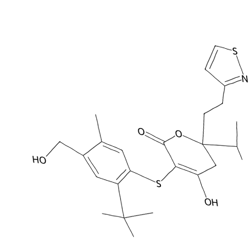 Cc1cc(SC2=C(O)CC(CCc3ccsn3)(C(C)C)OC2=O)c(C(C)(C)C)cc1CO